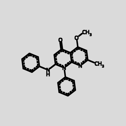 COc1cc(C)nc2c1c(=O)cc(Nc1ccccc1)n2-c1ccccc1